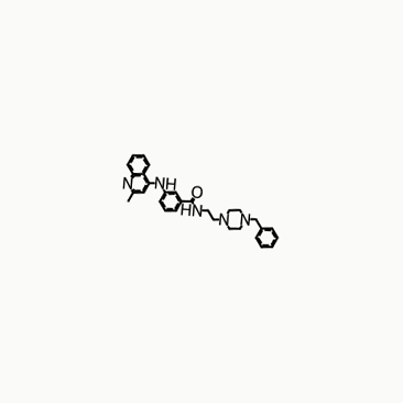 Cc1cc(Nc2cccc(C(=O)NCCN3CCN(Cc4ccccc4)CC3)c2)c2ccccc2n1